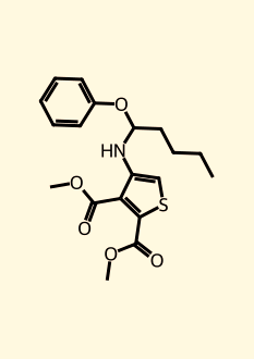 CCCCC(Nc1csc(C(=O)OC)c1C(=O)OC)Oc1ccccc1